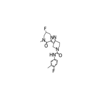 Cc1cc(NC(=O)N2CCc3nn4c(c3C2)C(=O)N(C)CC(F)C4)ccc1F